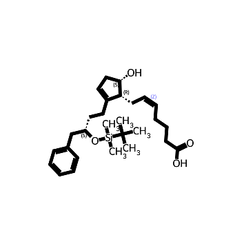 CC(C)(C)[Si](C)(C)O[C@@H](CCC1=CC[C@H](O)[C@@H]1C/C=C\CCCC(=O)O)Cc1ccccc1